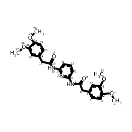 COc1ccc(CC(=O)Nc2cccc(NC(=O)Cc3ccc(OC)c(OC)c3)n2)cc1OC